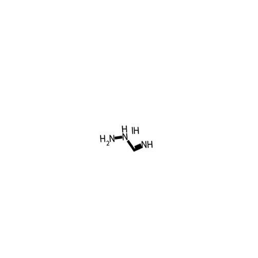 I.N=CNN